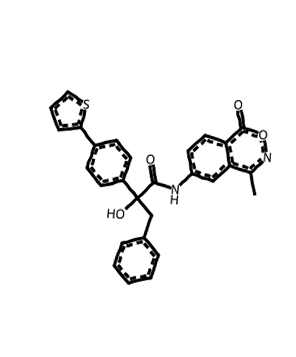 Cc1noc(=O)c2ccc(NC(=O)C(O)(Cc3ccccc3)c3ccc(-c4cccs4)cc3)cc12